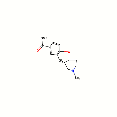 COC(=O)c1ccc(OC2CCN(C)CC2)c(C(F)(F)F)c1